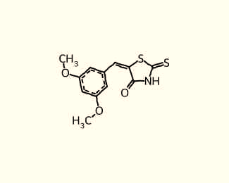 COc1cc(C=C2SC(=S)NC2=O)cc(OC)c1